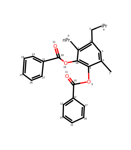 CCCc1c(CC(C)C)cc(C)c(OC(=O)c2ccccc2)c1OC(=O)c1ccccc1